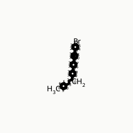 C=C(CCc1ccc(C)cc1)c1ccc(-c2ccc(C34CCC(c5ccc(Br)cc5)(CC3)CC4)cc2)cc1